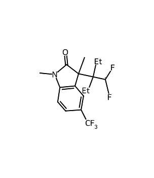 CCC(CC)([C](F)F)C1(C)C(=O)N(C)c2ccc(C(F)(F)F)cc21